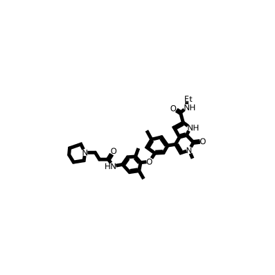 CCNC(=O)c1cc2c(-c3cc(C)cc(Oc4c(C)cc(NC(=O)CCN5CCCCC5)cc4C)c3)cn(C)c(=O)c2[nH]1